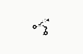 O=C(O)c1ccccc1NC(=O)C(CCNS(=O)(=O)C1CC1)NCc1ccc(-c2cc(Cl)ccc2Cl)o1